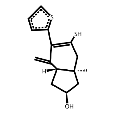 C=C1C(c2cccs2)=C(S)C[C@@]2(C)C[C@@H](O)C[C@H]12